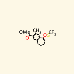 COC(=O)c1cc2c(cc1C)C(OSC(F)(F)F)=CCCC2